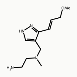 COC/C=C/c1n[nH]cc1CN(C)CCN